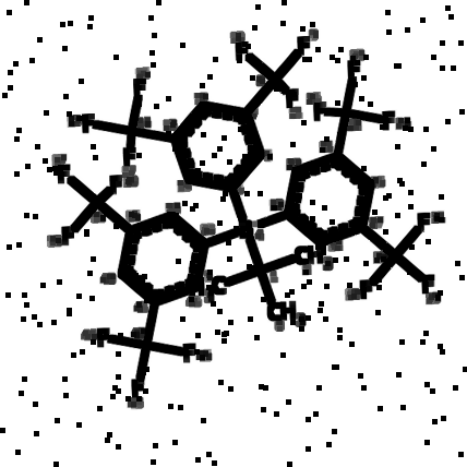 CC(C)(C)[B-](c1cc(C(F)(F)F)cc(C(F)(F)F)c1)(c1cc(C(F)(F)F)cc(C(F)(F)F)c1)c1cc(C(F)(F)F)cc(C(F)(F)F)c1